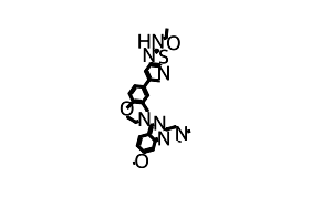 COc1ccc2c(N3CCOc4ccc(-c5cnc6sc(NC(C)=O)nc6c5)cc4C3)nc(CN(C)C)nc2c1